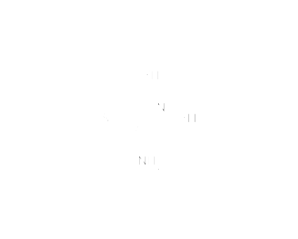 [2H]N([2H])C(N)=S